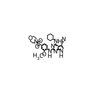 COc1cc(S(=O)(=O)N2CCOCC2)ccc1Nc1nc(NC2CCCCC2)c2c(C#N)c[nH]c2n1